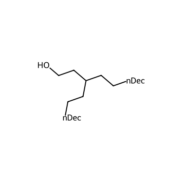 CCCCCCCCCCCCC(CCO)CCCCCCCCCCCC